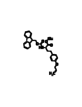 C=CCOc1ccc(CCC(NC(=O)OCC2c3ccccc3-c3ccccc32)C(=O)OC(C)(C)C)cc1